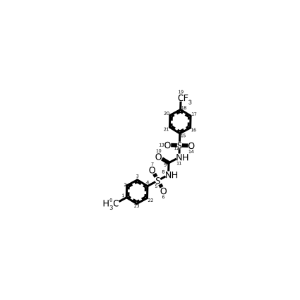 Cc1ccc(S(=O)(=O)NC(=O)NS(=O)(=O)c2ccc(C(F)(F)F)cc2)cc1